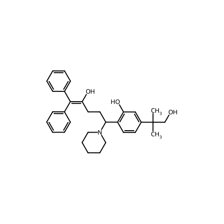 CC(C)(CO)c1ccc(C(CCC(O)=C(c2ccccc2)c2ccccc2)N2CCCCC2)c(O)c1